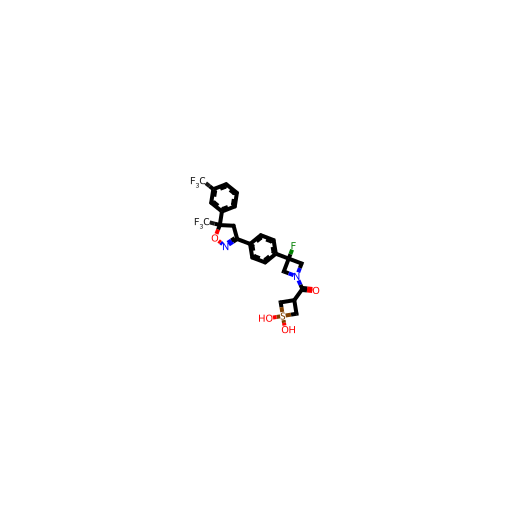 O=C(C1CS(O)(O)C1)N1CC(F)(c2ccc(C3=NOC(c4cccc(C(F)(F)F)c4)(C(F)(F)F)C3)cc2)C1